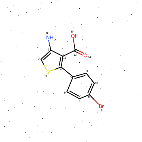 Nc1csc(-c2ccc(Br)cc2)c1C(=O)O